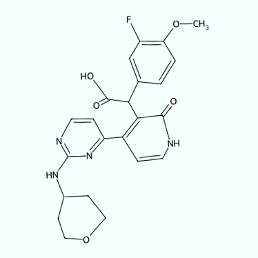 COc1ccc(C(C(=O)O)c2c(-c3ccnc(NC4CCOCC4)n3)cc[nH]c2=O)cc1F